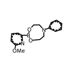 COc1cccc(B2OCCN(c3ccccc3)CCO2)n1